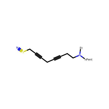 CCCCCN(CC)CCC#CCC#CCS#N